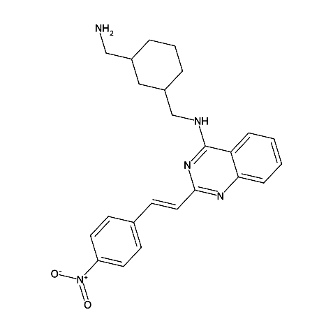 NCC1CCCC(CNc2nc(C=Cc3ccc([N+](=O)[O-])cc3)nc3ccccc23)C1